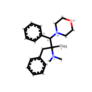 CN(C)C(C=O)(Cc1ccccc1)C(c1ccccc1)N1CCOCC1